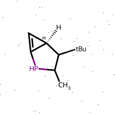 CC1PC2=C[C@H]2C1C(C)(C)C